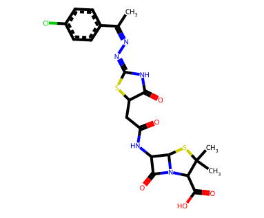 CC(=NN=C1NC(=O)C(CC(=O)NC2C(=O)N3C2SC(C)(C)C3C(=O)O)S1)c1ccc(Cl)cc1